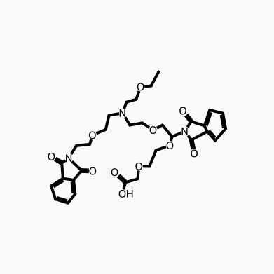 CCOCCN(CCOCCN1C(=O)c2ccccc2C1=O)CCOCC(OCCOCC(=O)O)N1C(=O)c2ccccc2C1=O